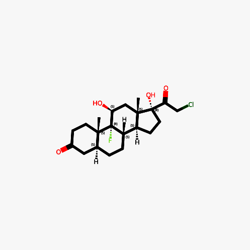 C[C@]12CCC(=O)C[C@@H]1CC[C@H]1[C@@H]3CC[C@](O)(C(=O)CCl)[C@@]3(C)C[C@H](O)[C@@]12F